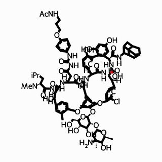 CN[C@H](CC(C)C)C(=O)N[C@H]1C(=O)N[C@@H](CC(=O)NC(=O)Nc2ccc(OCCCNC(C)=O)cc2)C(=O)N[C@H]2C(=O)N[C@H]3C(=O)N[C@H](C(=O)N[C@H](C(=O)NC4C5CC6CC(C5)CC4C6)c4cc(O)cc(O)c4-c4cc3ccc4O)[C@H](O)c3ccc(c(Cl)c3)Oc3cc2cc(c3O[C@@H]2O[C@H](CO)[C@@H](O)[C@H](O)[C@H]2O[C@H]2C[C@](C)(N)[C@H](O)[C@H](C)O2)Oc2ccc(cc2C)[C@H]1O